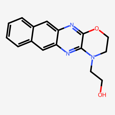 OCCN1CCOc2nc3cc4ccccc4cc3nc21